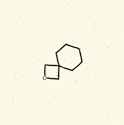 [CH]1CCC2(CC1)COC2